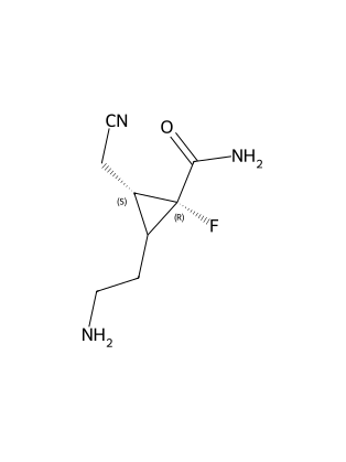 N#CC[C@H]1C(CCN)[C@]1(F)C(N)=O